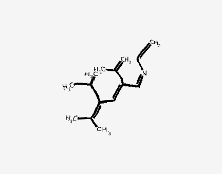 C=C/N=C\C(=C\C(=C(C)C)C(C)C)C(=C)C